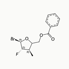 C[C@@H]1C(COC(=O)c2ccccc2)O[C@H](Br)[C@H]1F